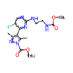 Cc1nn(C(=O)OC(C)(C)C)c(C)c1-c1nc(NCCNC(=O)OC(C)(C)C)ncc1F